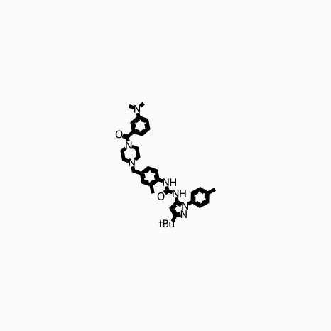 Cc1ccc(-n2nc(C(C)(C)C)cc2NC(=O)Nc2ccc(CN3CCN(C(=O)c4cccc(N(C)C)c4)CC3)cc2C)cc1